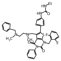 CCNC(=O)Nc1ccc(-c2sc3c(c2CN(C)CCN(C)Cc2ccccc2)c(=O)n(-c2ccccc2)c(=O)n3Cc2c(F)cccc2F)cc1